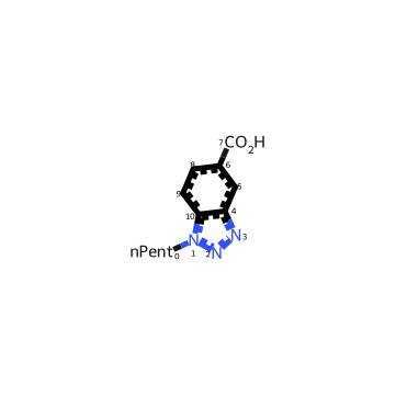 CCCCCn1nnc2cc(C(=O)O)ccc21